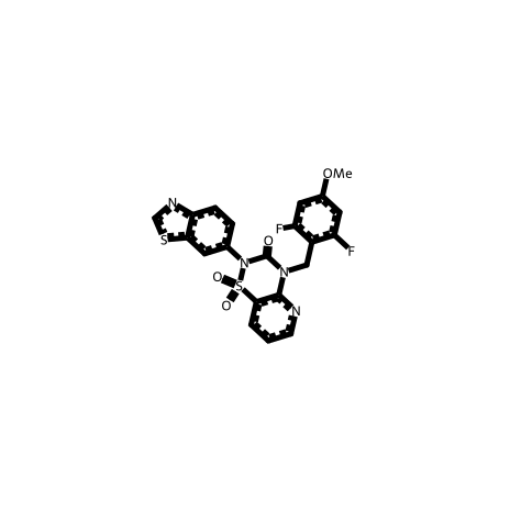 COc1cc(F)c(CN2C(=O)N(c3ccc4ncsc4c3)S(=O)(=O)c3cccnc32)c(F)c1